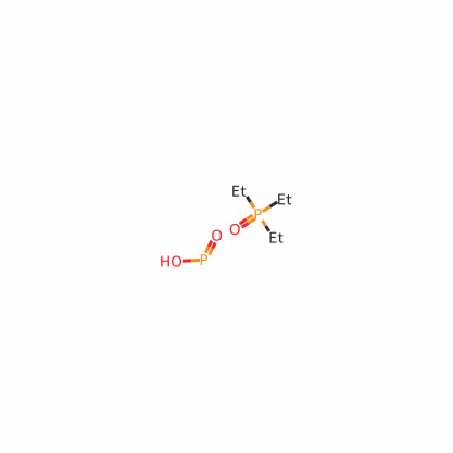 O=PO.[CH2]CP(=O)(CC)CC